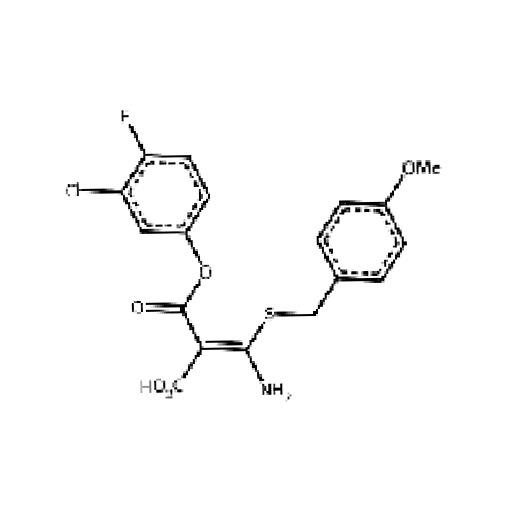 COc1ccc(CSC(N)=C(C(=O)O)C(=O)Oc2ccc(F)c(Cl)c2)cc1